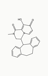 CN1CC(C2c3ccccc3CCc3ccccc32)n2ccc(=O)c(O)c2C1=O